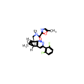 CCN(C[C@@]12CC[C@@H](c3cc(-c4c(F)cccc4F)nnc31)C2(C)C)C(=O)c1ncc(C)o1